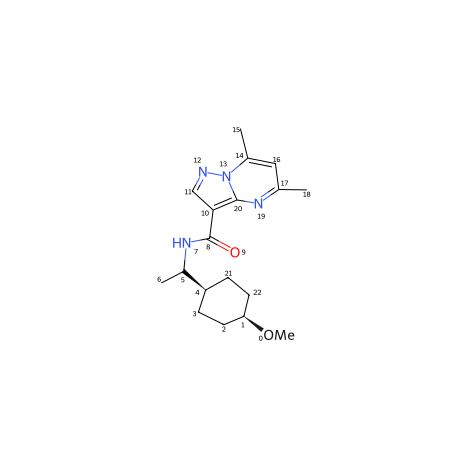 CO[C@H]1CC[C@@H](C(C)NC(=O)c2cnn3c(C)cc(C)nc23)CC1